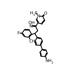 Cc1cc(F)ccc1C(C/C(=N/O)c1ccc(=O)n(C)c1)c1ccc(-c2ccc(N)cc2)cc1